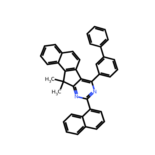 CC1(C)c2nc(-c3cccc4ccccc34)nc(-c3cccc(-c4ccccc4)c3)c2-c2ccc3ccccc3c21